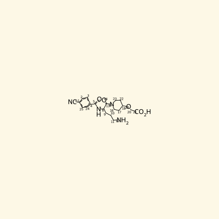 N#Cc1ccc(C(=O)NC(CCCN)C(=O)N2CCC(OCC(=O)O)CC2)cc1